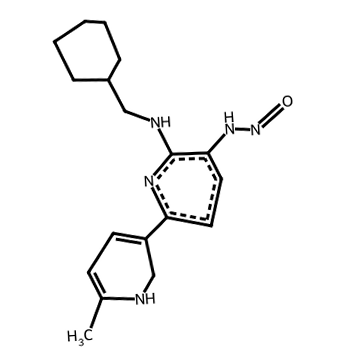 CC1=CC=C(c2ccc(NN=O)c(NCC3CCCCC3)n2)CN1